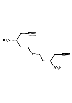 C#CCC(CCOCCC(CC#C)S(=O)(=O)O)S(=O)(=O)O